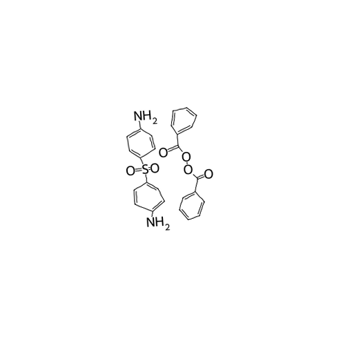 Nc1ccc(S(=O)(=O)c2ccc(N)cc2)cc1.O=C(OOC(=O)c1ccccc1)c1ccccc1